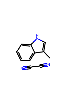 Cc1c[nH]c2ccccc12.N#CC#N